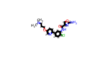 CN(C)CCCOc1ccc(-c2ccc(Cl)c(NC(=O)c3coc(N)n3)c2)nc1